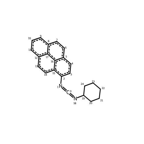 C(=Nc1ccc2ccc3cccc4ccc1c2c34)=NC1CCCCC1